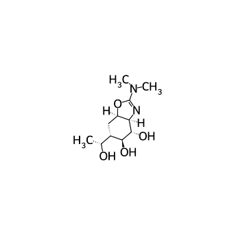 C[C@@H](O)[C@@H]1C[C@H]2OC(N(C)C)=N[C@H]2[C@H](O)[C@H]1O